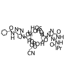 CC(C)C(=O)Nc1nc2c(ncn2[C@@H]2O[C@@H]3COP(=O)(OCCC#N)O[C@H]4C[C@H](n5ccc6c(NC(=O)c7ccccc7)ncnc65)O[C@@H]4COP(O)(=S)O[C@@H]2C3)c(=O)[nH]1